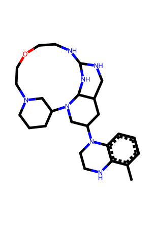 Cc1cccc2c1NCCN2C1CC2CNC3NCCOCCN4CCCC(C4)N(C1)C2N3